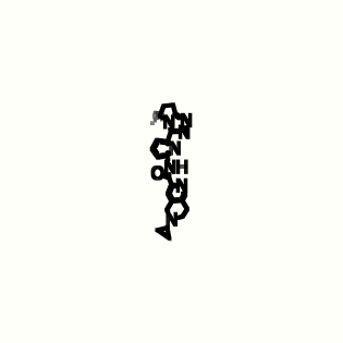 C[C@@H]1CCc2nnc(-c3cccc(NC(=O)c4cc5c(cn4)CCN(C4CC4)C5)n3)n21